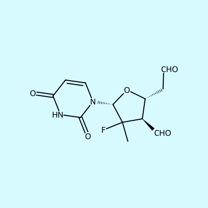 CC1(F)[C@H](C=O)[C@@H](CC=O)O[C@H]1n1ccc(=O)[nH]c1=O